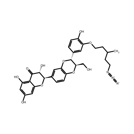 CC(CCN=[N+]=[N-])CCOc1cc([C@H]2Oc3cc([C@H]4Oc5cc(O)cc(O)c5C(=O)[C@@H]4O)ccc3O[C@@H]2CO)ccc1O